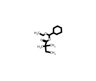 CCOC(OC(=O)C(C)(C)CC)C1CCCCC1